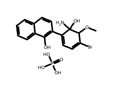 COC1C(Br)=CC=C(c2ccc3ccccc3c2O)C1(N)O.O=P(O)(O)O